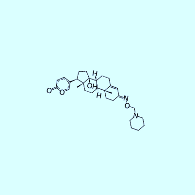 C[C@]12CC/C(=N\OCN3CCCCC3)C=C1CC[C@@H]1[C@@H]2CC[C@]2(C)[C@@H](c3ccc(=O)oc3)CC[C@]12O